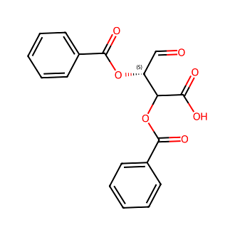 O=C[C@@H](OC(=O)c1ccccc1)C(OC(=O)c1ccccc1)C(=O)O